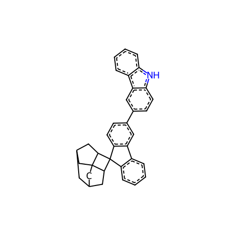 c1ccc2c(c1)-c1cc(-c3ccc4[nH]c5ccccc5c4c3)ccc1C21C2CC3CC4CC1C2(C3)C4